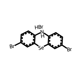 Br.Brc1ccc2c(c1)[Se]c1cc(Br)ccc1N2